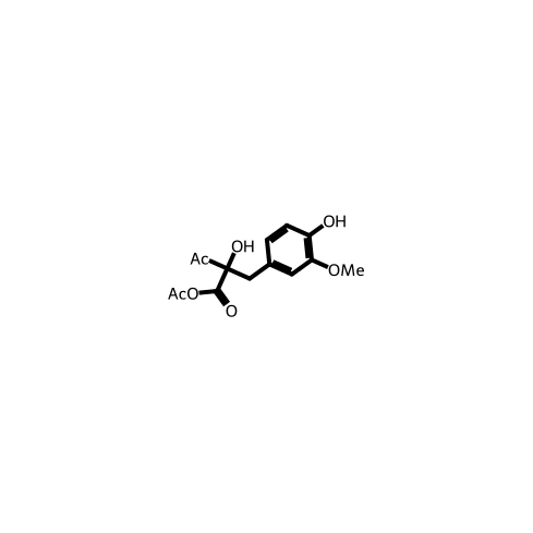 COc1cc(CC(O)(C(C)=O)C(=O)OC(C)=O)ccc1O